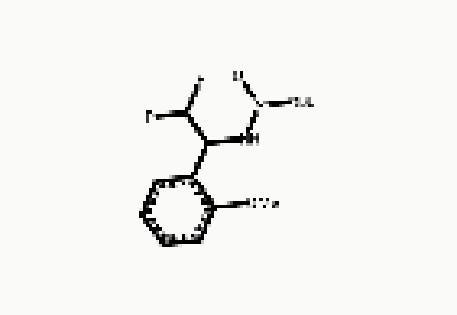 COc1ccccc1C(N[S+]([O-])C(C)(C)C)C(F)F